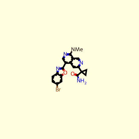 CNc1ncc(-c2nc3ccc(Br)cc3o2)c2cc(C3(C(N)=O)CC3)ncc12